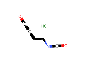 Cl.O=C=C=CCN=C=O